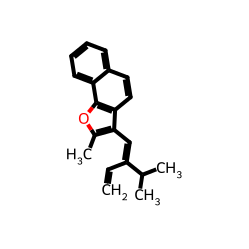 C=C/C(=C\c1c(C)oc2c1ccc1ccccc12)C(C)C